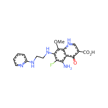 COc1c(NCCNc2ccccn2)c(F)c(N)c2c(=O)c(C(=O)O)c[nH]c12